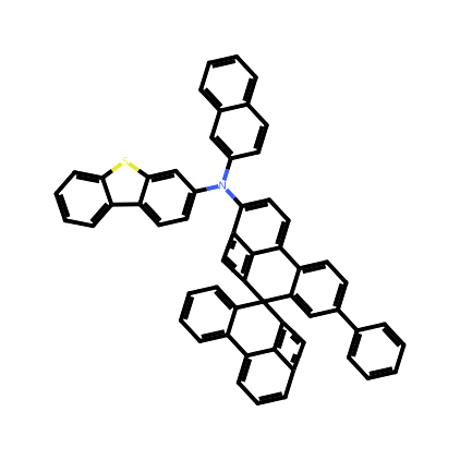 c1ccc(-c2ccc3c(c2)C2(c4ccccc4-c4cccc5cccc2c45)c2cccc4c(N(c5ccc6ccccc6c5)c5ccc6c(c5)sc5ccccc56)ccc-3c24)cc1